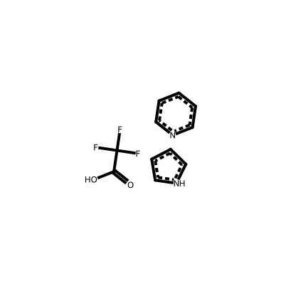 O=C(O)C(F)(F)F.c1cc[nH]c1.c1ccncc1